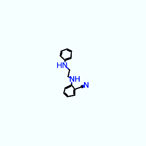 N#Cc1ccccc1NCCNc1ccccc1